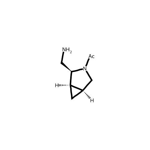 CC(=O)N1C[C@H]2C[C@H]2[C@H]1CN